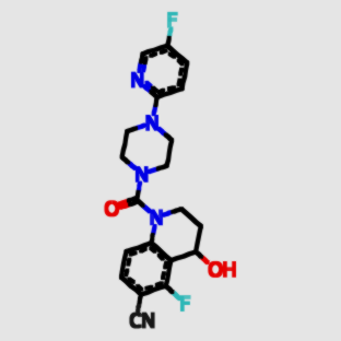 N#Cc1ccc2c(c1F)C(O)CCN2C(=O)N1CCN(c2ccc(F)cn2)CC1